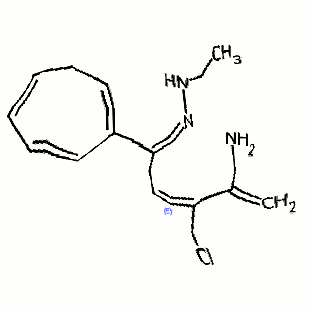 C=C(N)/C(Cl)=C\C(=NNC)C1=CCC=CC=C1